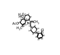 CC(=O)O[C@@H]1[CH][C@@]2(O)[C@H](C)CC[C@@H](C(C)CN3CCN(c4ccccc4Cl)CC3)[C@H]2C=C1C